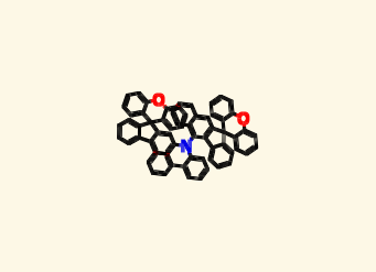 c1ccc(-c2ccccc2N(c2ccc3c(c2)C2(c4ccccc4Oc4ccccc42)c2ccccc2-3)c2c3c(cc4ccccc24)C2(c4ccccc4Oc4ccccc42)c2ccccc2-3)cc1